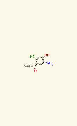 COC(=O)c1ccc(O)c(N)c1.Cl